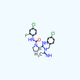 CC(=N)N(Cc1ccc(Cl)cc1)C(=N)[C@H]1CCCN1C(=O)Nc1ccc(Cl)cc1F